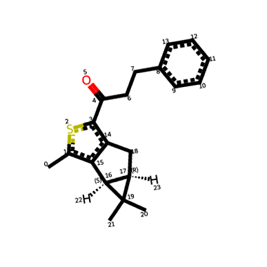 Cc1sc(C(=O)CCc2ccccc2)c2c1[C@H]1[C@@H](C2)C1(C)C